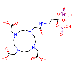 O=C(O)CN1CCN(CC(=O)O)CCN(CC(=O)NCCC(O)(O[PH](=O)O)O[PH](=O)O)CCN(CC(=O)O)CC1